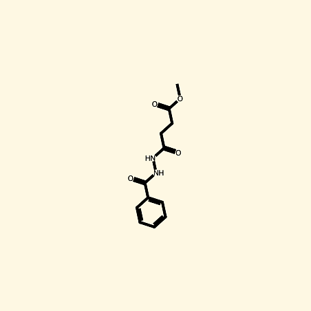 COC(=O)CCC(=O)NNC(=O)c1ccccc1